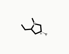 CCC1C[C@@H](F)CN1C